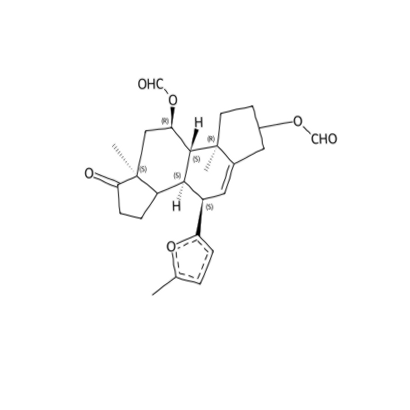 Cc1ccc([C@@H]2C=C3CC(OC=O)CC[C@]3(C)[C@@H]3[C@@H]2C2CCC(=O)[C@@]2(C)C[C@H]3OC=O)o1